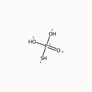 O=P(O)(O)S